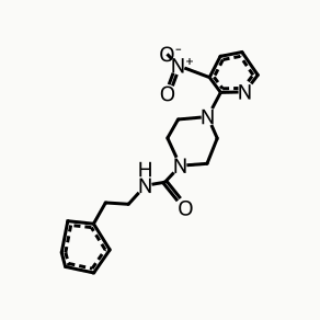 O=C(NCCc1ccccc1)N1CCN(c2ncccc2[N+](=O)[O-])CC1